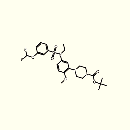 CCN(c1ccc(OC)c(N2CCN(C(=O)OC(C)(C)C)CC2)c1)S(=O)(=O)c1cccc(OC(F)F)c1